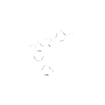 COc1ccc(NC(=O)c2n[nH]c3ccc(-c4cccnc4)cc23)cn1